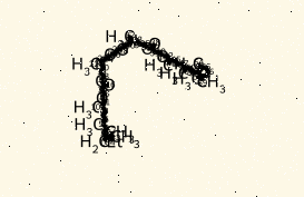 C=C(/C=C/C(C)=C/C=C/C(C)=C/OCCC(=O)OCCCN(C)CCOCCOCCN(C)CCCOC(=O)CCO/C=C(C)/C=C/C=C(C)/C=C/C1=C(C)CCCC1(C)C)C(C)(C)CC